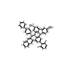 Cc1cccc(C)c1-c1cc2c3c(c1)-n1c4ccc(C(C)(C)C)cc4c4cc(C(C)(C)C)cc(c41)B3N(c1ccc(-c3ccccc3)cc1)c1cc3ccccc3cc1-2